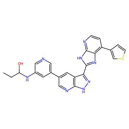 CCC(O)Nc1cncc(-c2cnc3[nH]nc(-c4nc5c(-c6ccsc6)ccnc5[nH]4)c3c2)c1